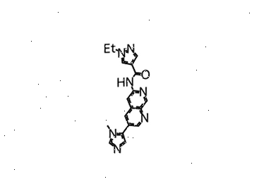 CCn1cc(C(=O)Nc2cc3cc(-c4cncn4C)cnc3cn2)cn1